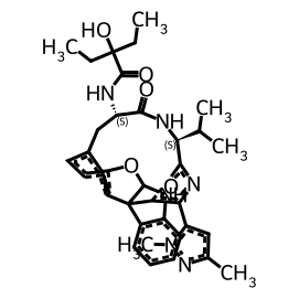 CCC(O)(CC)C(=O)N[C@H]1Cc2ccc3c(c2)C2(c4ccccc4NC2O3)c2oc(nc2-c2cc(C)nn2C)[C@H](C(C)C)NC1=O